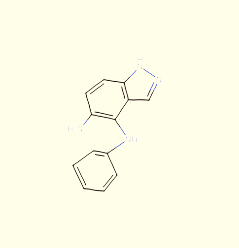 Nc1ccc2[nH]ncc2c1Nc1ccccc1